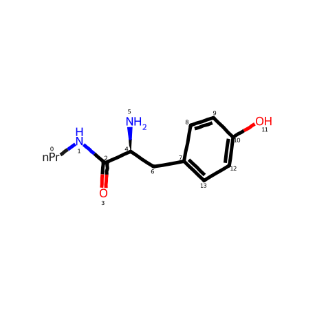 CCCNC(=O)[C@@H](N)Cc1ccc(O)cc1